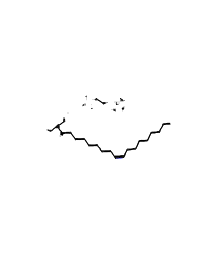 CCCCCCCC/C=C\CCCCCCCC(=O)C(O)(CO)CO.C[N+](C)(C)CCOP(=O)(O)O